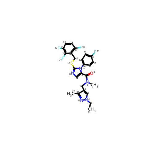 CCn1cc(CN(C)C(=O)c2cnc(SCc3c(F)ccc(F)c3F)n2-c2ccc(F)cc2)c(C)n1